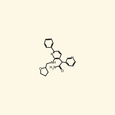 NC(=O)C(c1cccnc1)c1ccc(-c2ccccc2)nc1NCC1CCCO1